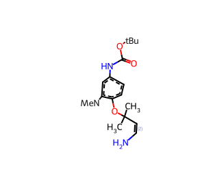 CNc1cc(NC(=O)OC(C)(C)C)ccc1OC(C)(C)/C=C\N